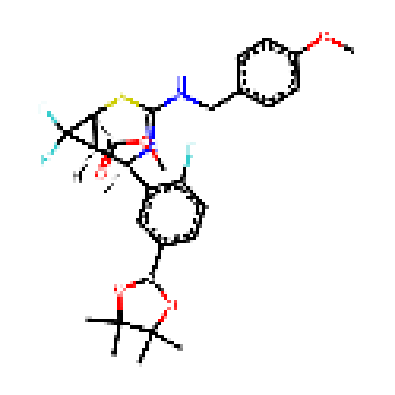 COC(=O)[C@]12SC(NCc3ccc(OC)cc3)=N[C@@](C)(c3cc(B4OC(C)(C)C(C)(C)O4)ccc3F)[C@H]1C2(F)F